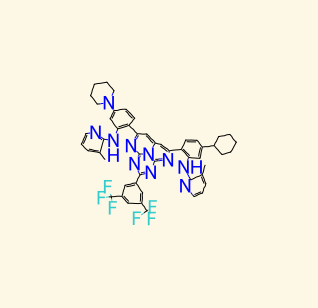 Cc1cccnc1Nc1cc(C2CCCCC2)ccc1C1=CC2=CC(c3ccc(N4CCCCC4)cc3Nc3ncccc3C)=NC3=NC(c4cc(C(F)(F)F)cc(C(F)(F)F)c4)=NC(=N1)N23